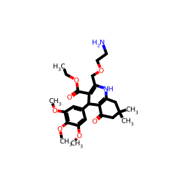 CCOC(=O)C1=C(COCCN)NC2=C(C(=O)CC(C)(C)C2)C1c1cc(OC)c(OC)c(OC)c1